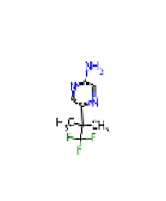 CC(C)(c1cnc(N)cn1)C(F)(F)F